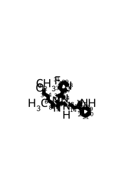 COCCCC(C)c1cnc2c(NCCc3c[nH]c4ccccc34)nc(-c3cncc(F)c3)cn12